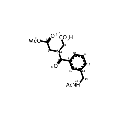 COC(=O)CN(CC(=O)O)C(=O)c1cccc(CNC(C)=O)c1